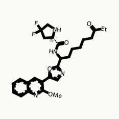 CCC(=O)CCCCCC(NC(=O)[C@@H]1CC(F)(F)CN1)c1ncc(-c2cc3ccccc3nc2OC)o1